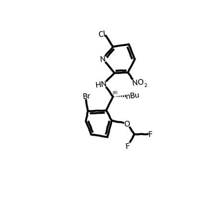 CCCC[C@@H](Nc1nc(Cl)ccc1[N+](=O)[O-])c1c(Br)cccc1OC(F)F